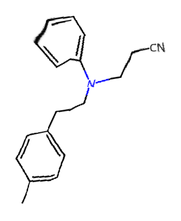 Cc1ccc(CCN(CCC#N)c2ccccc2)cc1